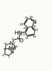 O=C(CN1CC2CCC(C1)N2)Nc1cccc2ncccc12